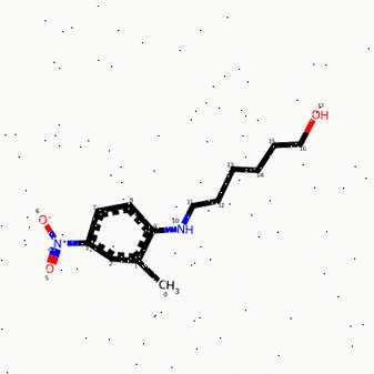 Cc1cc([N+](=O)[O-])ccc1NCCCCCCO